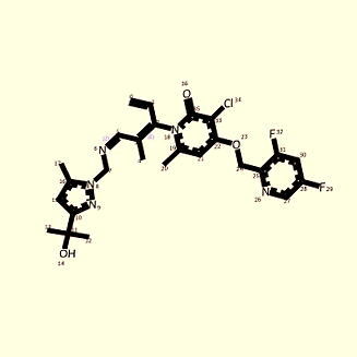 C=C/C(=C(C)\C=N/Cn1nc(C(C)(C)O)cc1C)n1c(C)cc(OCc2ncc(F)cc2F)c(Cl)c1=O